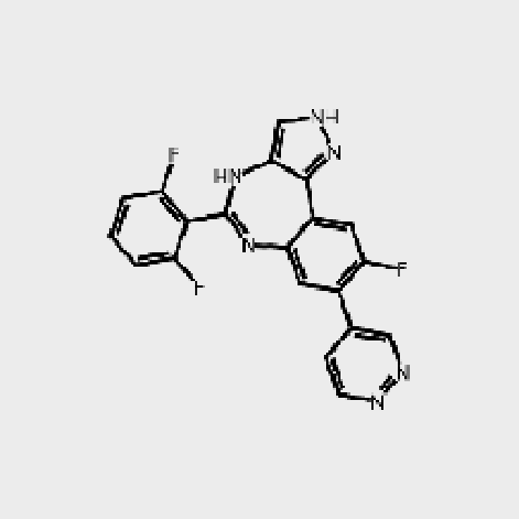 Fc1cc2c(cc1-c1ccnnc1)N=C(c1c(F)cccc1F)Nc1c[nH]nc1-2